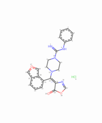 Cl.N=C(Nc1ccccc1)N1CCN(/C(=C2\N=COC2=O)c2cccc3cocc23)CC1